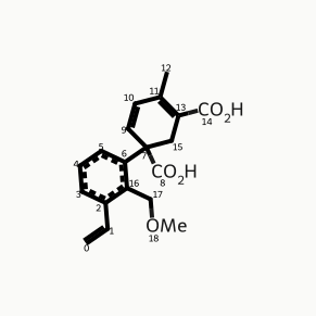 C=Cc1cccc(C2(C(=O)O)C=CC(C)=C(C(=O)O)C2)c1COC